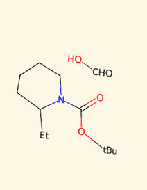 CCC1CCCCN1C(=O)OC(C)(C)C.O=CO